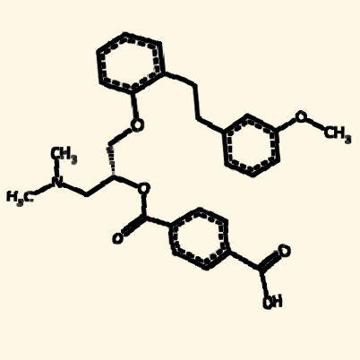 COc1cccc(CCc2ccccc2OC[C@@H](CN(C)C)OC(=O)c2ccc(C(=O)O)cc2)c1